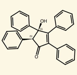 O=C1C(c2ccccc2)=C(c2ccccc2)[C@@](O)(c2ccccc2)[C@@H]1c1ccccc1